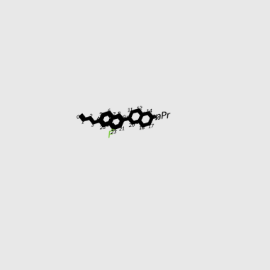 C=CCCc1ccc2cc(C3CCC4CC(CCC)CCC4C3)cc(F)c2c1